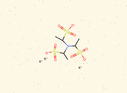 CC(N(C(C)S(=O)(=O)[O-])C(C)S(=O)(=O)[O-])S(=O)(=O)[O-].[K+].[K+].[K+]